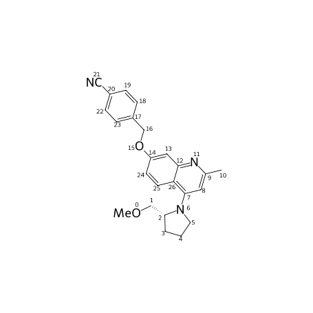 COC[C@H]1CCCN1c1cc(C)nc2cc(OCc3ccc(C#N)cc3)ccc12